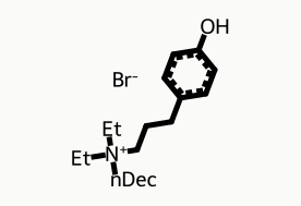 CCCCCCCCCC[N+](CC)(CC)CCCc1ccc(O)cc1.[Br-]